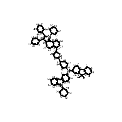 CC1(C)c2ccccc2-c2ccc(N(c3ccc(-c4ccc(-c5cccc6c5ccc5c(-c7ccccc7)c(-c7ccccc7)n(-c7ccccc7)c56)s4)cc3)c3ccc4c(c3)c3ccccc3n4-c3ccccc3)cc21